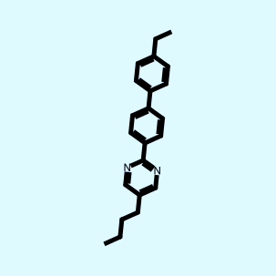 CCCCc1cnc(-c2ccc(-c3ccc(CC)cc3)cc2)nc1